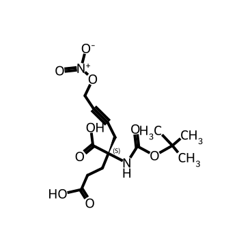 CC(C)(C)OC(=O)N[C@](CC#CCO[N+](=O)[O-])(CCC(=O)O)C(=O)O